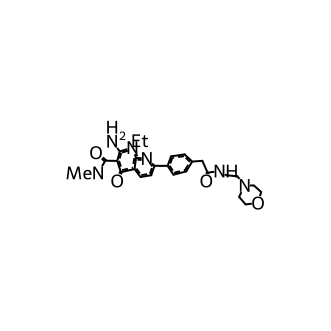 CCn1c(N)c(C(=O)NC)c(=O)c2ccc(-c3ccc(CC(=O)NCCN4CCOCC4)cc3)nc21